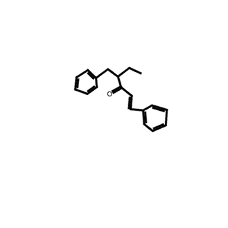 CCC(Cc1ccccc1)C(=O)C=Cc1ccccc1